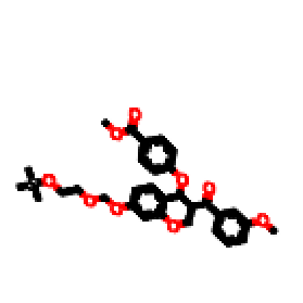 COC(=O)c1ccc(OC2c3ccc(OCOCCO[Si](C)(C)C)cc3OCC2C(=O)c2cccc(OC)c2)cc1